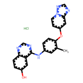 Cc1cc(Nc2ncnc3ccc(O)cc23)ccc1Oc1ccn2ncnc2c1.Cl